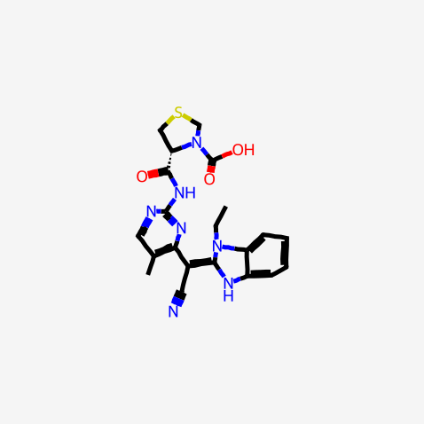 CCN1C(=C(C#N)c2nc(NC(=O)[C@@H]3CSCN3C(=O)O)ncc2C)Nc2ccccc21